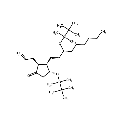 C=CC[C@@H]1C(=O)C[C@@H](O[Si](C)(C)C(C)(C)C)[C@@H]1C=C[C@H](CCCCCC)O[Si](C)(C)C(C)(C)C